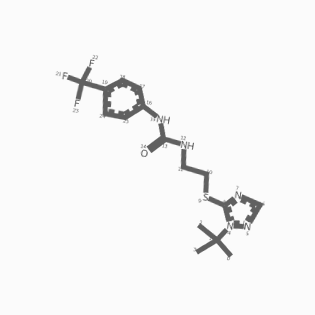 CC(C)(C)n1ncnc1SCCNC(=O)Nc1ccc(C(F)(F)F)cc1